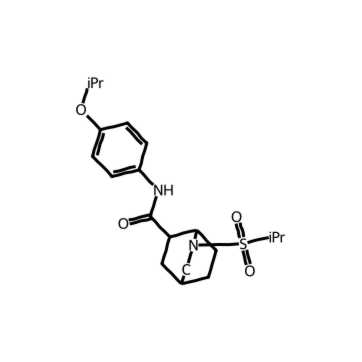 CC(C)Oc1ccc(NC(=O)C2CC3CCC2N(S(=O)(=O)C(C)C)C3)cc1